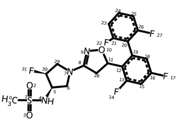 CS(=O)(=O)N[C@@H]1CN(C2=NOC(c3c(F)cc(F)cc3-c3c(F)cccc3F)C2)C[C@@H]1F